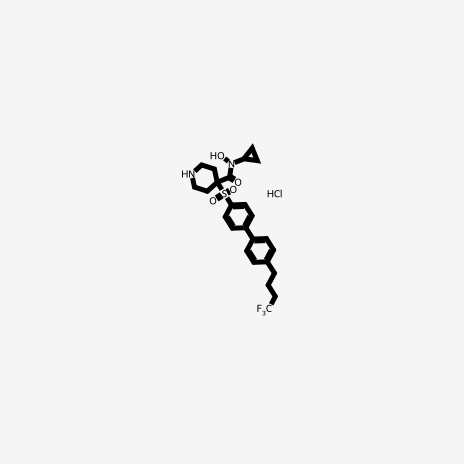 Cl.O=C(N(O)C1CC1)C1(S(=O)(=O)c2ccc(-c3ccc(CCCC(F)(F)F)cc3)cc2)CCNCC1